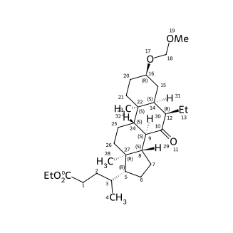 CCOC(=O)CCC(C)[C@H]1CC[C@H]2[C@@H]3C(=O)[C@H](CC)[C@@H]4C[C@H](OCOC)CC[C@]4(C)[C@H]3CC[C@]12C